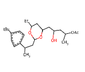 CCC1CC(CC(O)CC(C)OC(C)=O)OC(CC(C)c2ccc(C(C)(C)C)cc2)O1